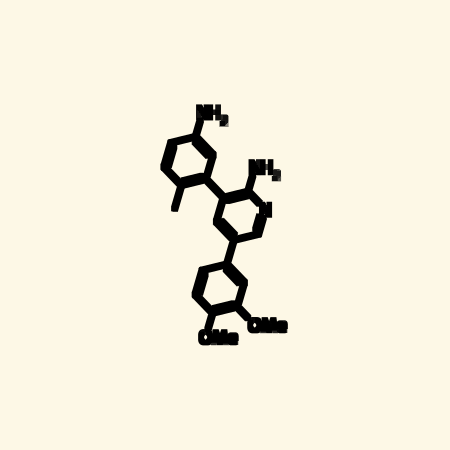 COc1ccc(-c2cnc(N)c(-c3cc(N)ccc3C)c2)cc1OC